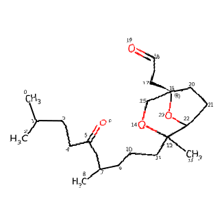 CC(C)CCC(=O)C(C)CCCC1(C)OC[C@]2(CC=O)CCC1O2